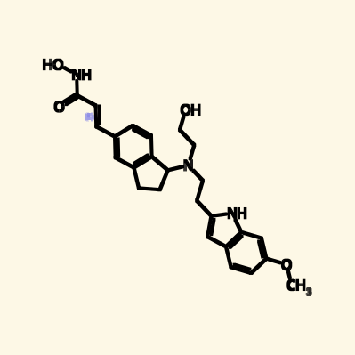 COc1ccc2cc(CCN(CCO)C3CCc4cc(/C=C/C(=O)NO)ccc43)[nH]c2c1